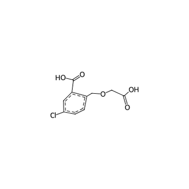 O=C(O)COCc1ccc(Cl)cc1C(=O)O